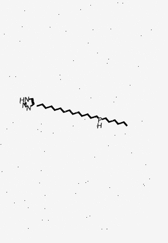 CCCCCCCCCCCCCCPCCCCCC.c1c[nH]nn1